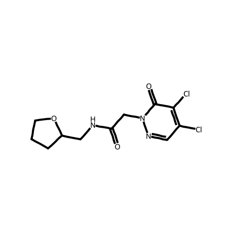 O=C(Cn1ncc(Cl)c(Cl)c1=O)NCC1CCCO1